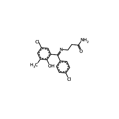 Cc1cc(Cl)cc(C(=NCCC(N)=O)c2ccc(Cl)cc2)c1O